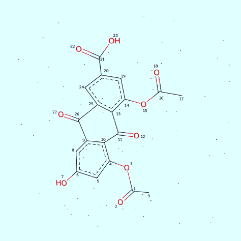 CC(=O)Oc1cc(O)cc2c1C(=O)c1c(OC(C)=O)cc(C(=O)O)cc1C2=O